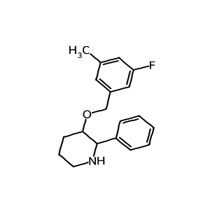 Cc1cc(F)cc(COC2CCCNC2c2ccccc2)c1